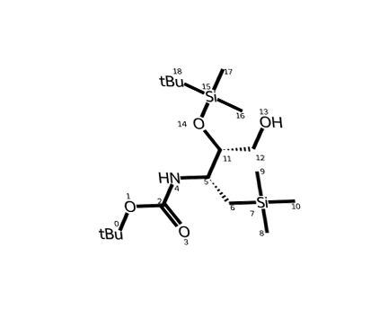 CC(C)(C)OC(=O)N[C@@H](C[Si](C)(C)C)[C@@H](CO)O[Si](C)(C)C(C)(C)C